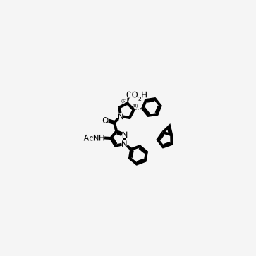 CC(=O)Nc1cn(-c2ccccc2)nc1C(=O)N1C[C@@H](C(=O)O)[C@H](c2ccccc2)C1.c1cc2cc-2c1